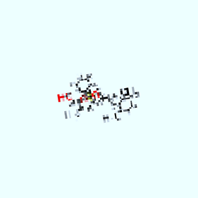 CC(C=CC1=C(C)CCCC1(C)C)=CC(CC(C)=CCO)S(=O)(=O)c1ccccc1